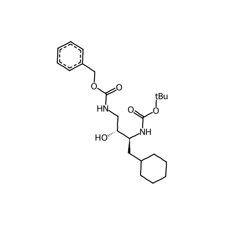 CC(C)(C)OC(=O)N[C@@H](CC1CCCCC1)[C@H](O)CNC(=O)OCc1ccccc1